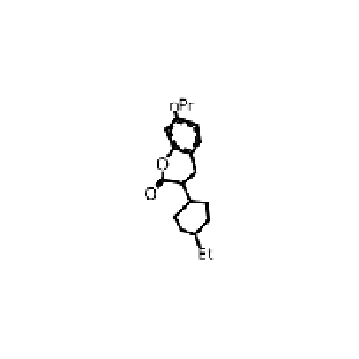 CCCc1ccc2c(c1)OC(=O)C(C1CCC(CC)CC1)C2